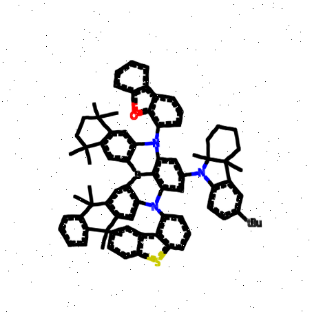 CC(C)(C)c1ccc2c(c1)C1(C)CCCCC1(C)N2c1cc2c3c(c1)N(c1cccc4sc5ccccc5c14)c1cc4c(cc1B3c1cc3c(cc1N2c1cccc2c1oc1ccccc12)C(C)(C)CCC3(C)C)C(C)(C)c1ccccc1C4(C)C